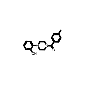 Cc1ccc(C(=O)N2CCN(c3ccccc3O)CC2)cc1